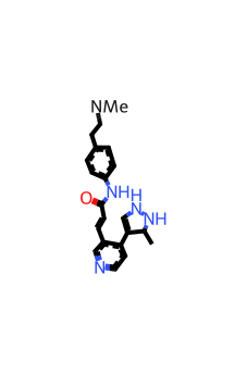 CNCCc1ccc(NC(=O)/C=C/c2cnccc2C2=CNNC2C)cc1